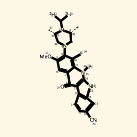 [2H]C([2H])N1[C@H](C)CN(c2c(OC)cc3c(=O)c4c5ccc(C#N)cc5[nH]c4n(C(C)C)c3c2F)C[C@@H]1C